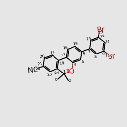 CC1(C)Oc2cc(-c3cc(Br)cc(Br)c3)ccc2-c2ccc(C#N)cc21